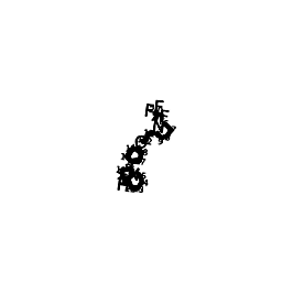 FC(F)(F)CN1CCCCC1CCOc1ccc([C@H]2CC[C@H]3CCCCN32)cc1